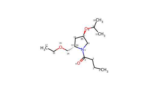 CCCC(=O)N1C[C@H](OC(C)C)C[C@H]1COCC